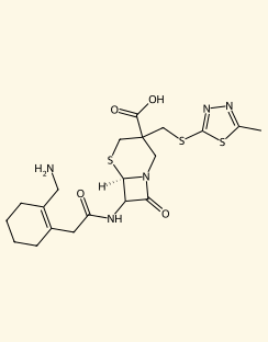 Cc1nnc(SCC2(C(=O)O)CS[C@@H]3C(NC(=O)CC4=C(CN)CCCC4)C(=O)N3C2)s1